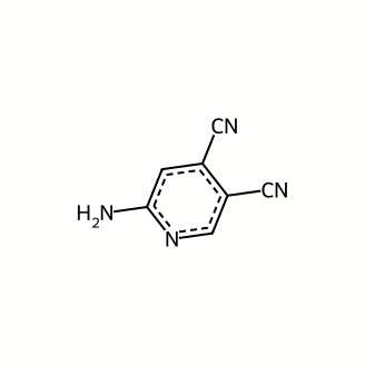 N#Cc1cnc(N)cc1C#N